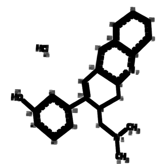 CN(C)CC1Cc2nc3ccccc3cc2C=C1c1cccc(O)c1.Cl